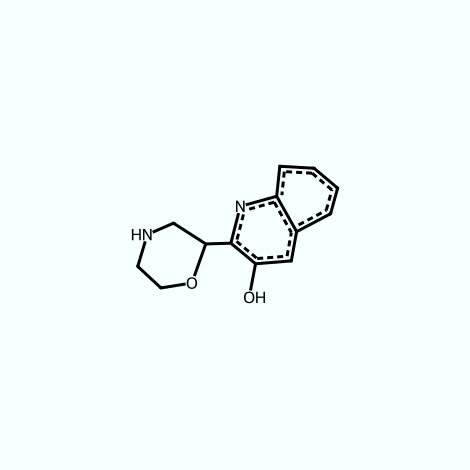 Oc1cc2ccccc2nc1C1CNCCO1